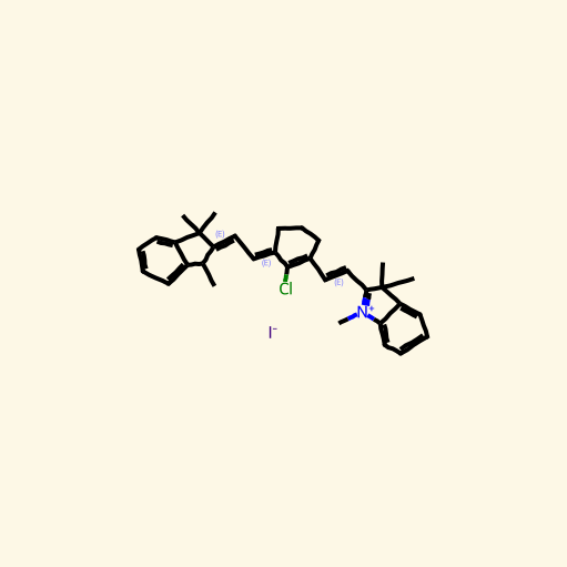 CC1/C(=C\C=C2/CCCC(/C=C/C3=[N+](C)c4ccccc4C3(C)C)=C2Cl)C(C)(C)c2ccccc21.[I-]